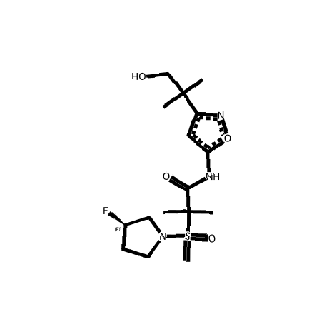 C=S(=O)(N1CC[C@@H](F)C1)C(C)(C)C(=O)Nc1cc(C(C)(C)CO)no1